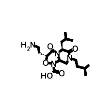 CC(C)CCN1CC2N(C(=O)O)O[C@H](CCN)C(=O)N2[C@@H](CC(C)C)C1=O